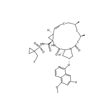 COc1cc(F)cc2c(O[C@@H]3C[C@H]4C(=O)N[C@]5(C(=O)NS(=O)(=O)C6(CF)CC6)C[C@H]5/C=C\CC[C@@H](C)C[C@@H](C)CC(=O)N4C3)nccc12